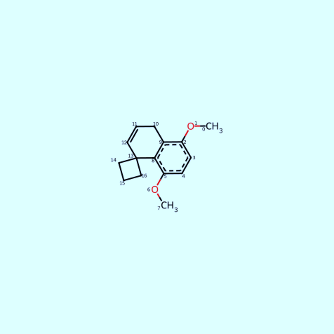 COc1ccc(OC)c2c1CC=CC21CCC1